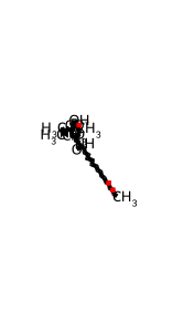 CCCCCCCCCCCCCCCCCC(=O)NCC(CC(C[N+](C)(C)C)OP(=O)([O-])O)OCC